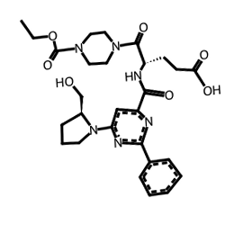 CCOC(=O)N1CCN(C(=O)[C@H](CCC(=O)O)NC(=O)c2cc(N3CCC[C@H]3CO)nc(-c3ccccc3)n2)CC1